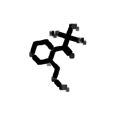 COC[C@H]1COCCN1C(=O)C(C)(C)C